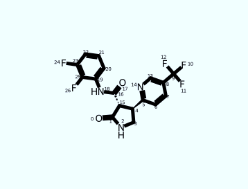 O=C1NC[C@H](c2ccc(C(F)(F)F)cn2)[C@H]1C(=O)Nc1cccc(F)c1F